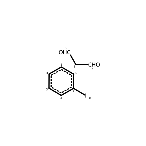 Ic1ccccc1.O=CCC=O